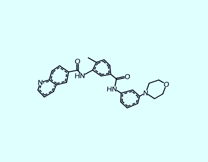 Cc1ccc(C(=O)Nc2cccc(N3CCOCC3)c2)cc1NC(=O)c1ccc2ncccc2c1